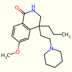 CCCC1(CCN2CCCCC2)CNC(=O)c2ccc(OC)cc21